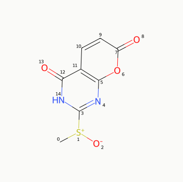 C[S+]([O-])c1nc2oc(=O)ccc2c(=O)[nH]1